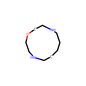 C1CCNCCOCCNCC1